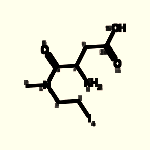 CN(CCI)C(=O)C(N)CC(=O)O